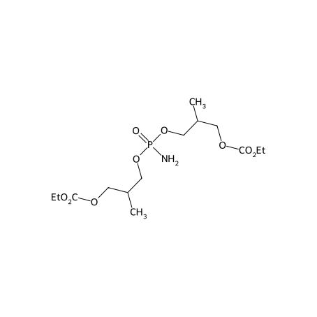 CCOC(=O)OCC(C)COP(N)(=O)OCC(C)COC(=O)OCC